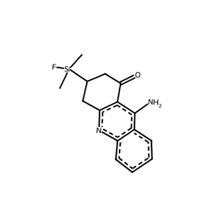 C[Si](C)(F)C1CC(=O)c2c(nc3ccccc3c2N)C1